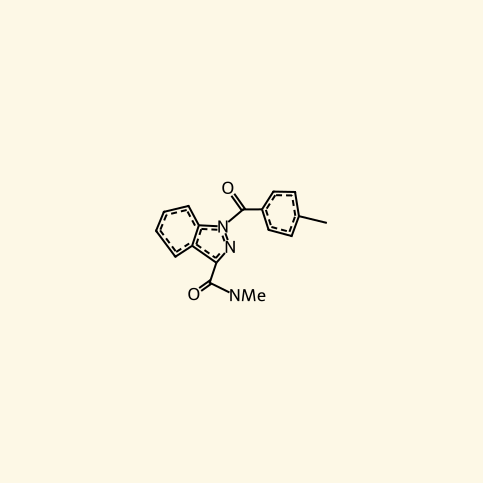 CNC(=O)c1nn(C(=O)c2ccc(C)cc2)c2ccccc12